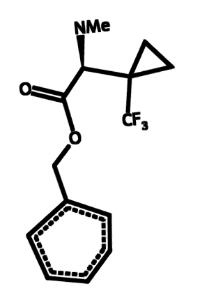 CN[C@H](C(=O)OCc1ccccc1)C1(C(F)(F)F)CC1